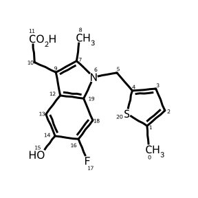 Cc1ccc(Cn2c(C)c(CC(=O)O)c3cc(O)c(F)cc32)s1